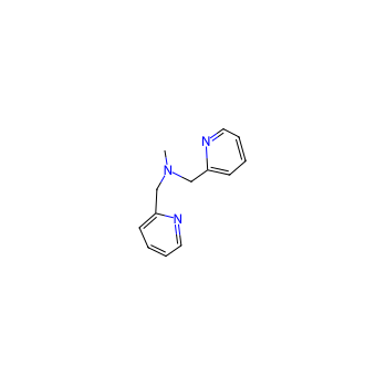 CN(Cc1ccccn1)Cc1ccccn1